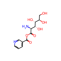 N[C@H](C(=O)OC(=O)c1cccnc1)[C@@H](O)[C@H](O)[C@H](O)CO